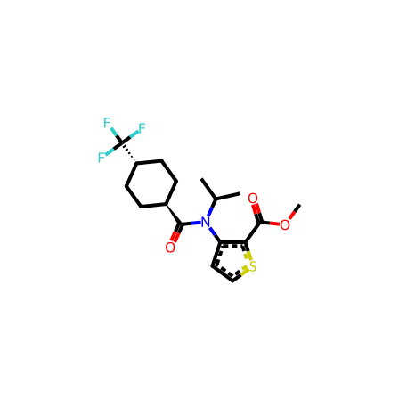 COC(=O)c1sccc1N(C(=O)[C@H]1CC[C@H](C(F)(F)F)CC1)C(C)C